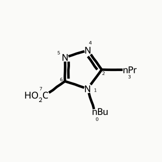 CCCCn1c(CCC)nnc1C(=O)O